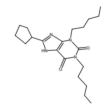 CCCCCn1c(=O)c2[nH]c(C3CCCC3)nc2n(CCCCC)c1=O